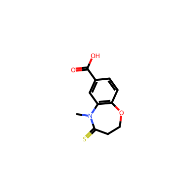 CN1C(=S)CCOc2ccc(C(=O)O)cc21